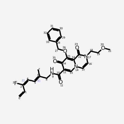 C=C/C(F)=C\C=C(/C)CNC(=O)c1cn2ccn(CCOC)c(=O)c2c(OCc2ccccc2)c1=O